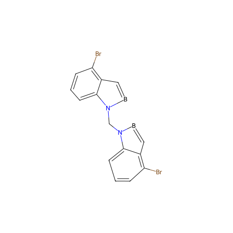 Brc1cccc2c1cbn2Cn1bcc2c(Br)cccc21